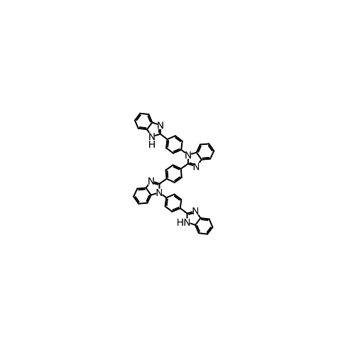 c1ccc2[nH]c(-c3ccc(-n4c(-c5ccc(-c6nc7ccccc7n6-c6ccc(-c7nc8ccccc8[nH]7)cc6)cc5)nc5ccccc54)cc3)nc2c1